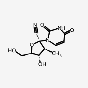 C[C@H]1[C@H](O)[C@@H](CO)O[C@@]1(C#N)n1ccc(=O)[nH]c1=O